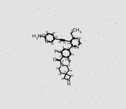 CCc1ncnc(-c2cc(F)c(C(=O)N3CCC4(CC3)CNC4)c(F)c2)c1C#Cc1ccc(N)nc1